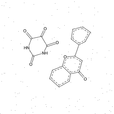 O=C1NC(=O)C(=O)C(=O)N1.O=c1cc(-c2ccccc2)oc2ccccc12